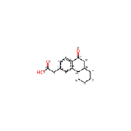 O=C(O)Cc1ccc2c(c1)C1CCCCC1CC2=O